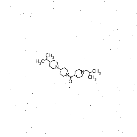 CC(C)CN1CCC(C(=O)N2CCC(N3CCC(C(C)C)CC3)CC2)CC1